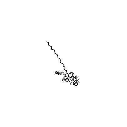 CCCCCCCCCCCCCCCCCc1ccc2[nH]c(S(=O)(=O)[O-])nc2c1S(=O)(=O)[O-].[Na+].[Na+]